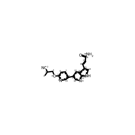 CC(C#N)COc1ccc(-c2cnc3[nH]cc(C=CC(N)=O)c3c2)cn1